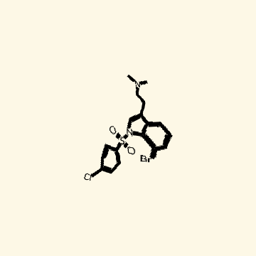 CN(C)CCc1cn(S(=O)(=O)c2ccc(Cl)cc2)c2c(Br)cccc12